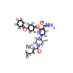 C[C@H]1CN(C(=O)/C(C#N)=C/C2CC2)CCN1c1ccc(C(N)=O)c(Oc2ccc(Oc3ccccc3)cc2)n1